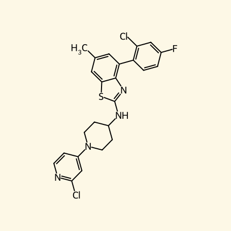 Cc1cc(-c2ccc(F)cc2Cl)c2nc(NC3CCN(c4ccnc(Cl)c4)CC3)sc2c1